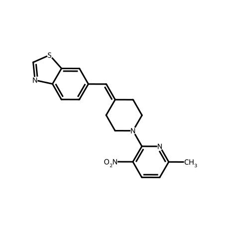 Cc1ccc([N+](=O)[O-])c(N2CCC(=Cc3ccc4ncsc4c3)CC2)n1